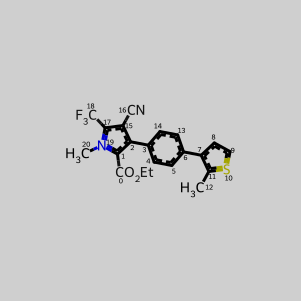 CCOC(=O)c1c(-c2ccc(-c3ccsc3C)cc2)c(C#N)c(C(F)(F)F)n1C